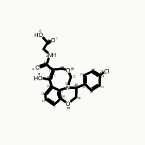 O=C(O)CNC(=O)/C1=C(\O)c2cccc3c2N(COC1)C(c1ccc(Cl)cc1)CO3